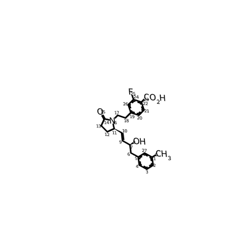 Cc1cccc(C[C@H](O)/C=C/[C@H]2CCC(=O)N2CCc2ccc(C(=O)O)c(F)c2)c1